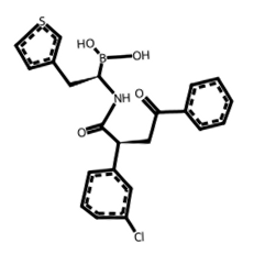 O=C(C[C@H](C(=O)N[C@@H](Cc1ccsc1)B(O)O)c1cccc(Cl)c1)c1ccccc1